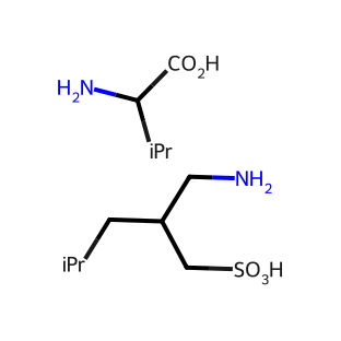 CC(C)C(N)C(=O)O.CC(C)CC(CN)CS(=O)(=O)O